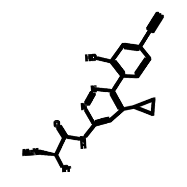 C#Cc1ccc(-c2nnc(NC(=O)[C@H](NC)C(C)C)cc2C2CC2)c(O)c1